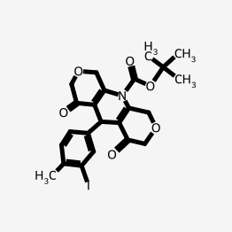 Cc1ccc(C2C3=C(COCC3=O)N(C(=O)OC(C)(C)C)C3=C2C(=O)COC3)cc1I